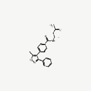 Cc1onc(-c2ccccc2)c1-c1ccc(C(=O)N[C@@H](C)CC(N)=O)cc1